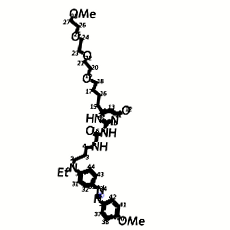 CCN(CCCNC(=O)Nc1nc(=O)cc(CCCCOCCOCCOCCOC)[nH]1)c1ccc(/N=N/c2ccc(OC)cc2)cc1